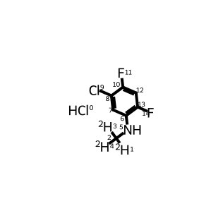 Cl.[2H]C([2H])([2H])Nc1cc(Cl)c(F)cc1F